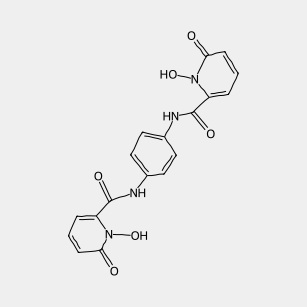 O=C(Nc1ccc(NC(=O)c2cccc(=O)n2O)cc1)c1cccc(=O)n1O